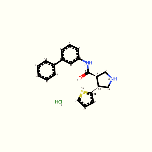 Cl.O=C(Nc1cccc(-c2ccccc2)c1)[C@H]1CNC[C@@H]1c1cccs1